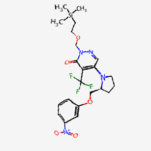 C[Si](C)(C)CCOCn1ncc(N2CCC[C@H]2COc2cccc([N+](=O)[O-])c2)c(C(F)(F)F)c1=O